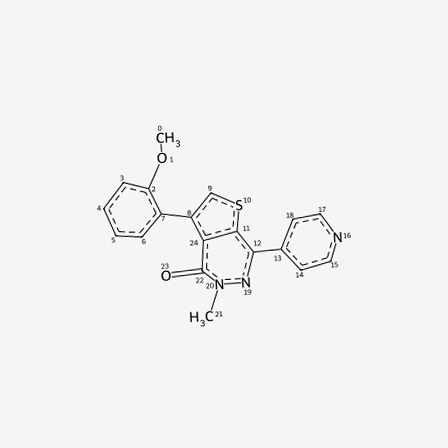 COc1ccccc1-c1csc2c(-c3ccncc3)nn(C)c(=O)c12